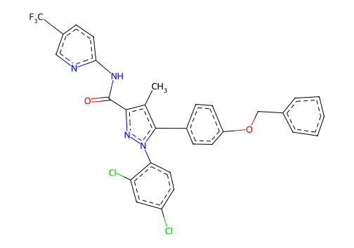 Cc1c(C(=O)Nc2ccc(C(F)(F)F)cn2)nn(-c2ccc(Cl)cc2Cl)c1-c1ccc(OCc2ccccc2)cc1